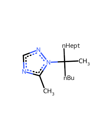 CCCCCCCC(C)(CCCC)n1ncnc1C